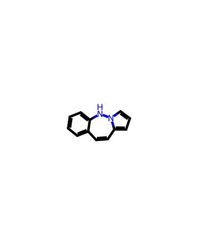 C1=Cc2cccn2Nc2ccccc21